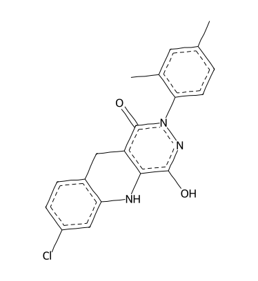 Cc1ccc(-n2nc(O)c3c(c2=O)Cc2ccc(Cl)cc2N3)c(C)c1